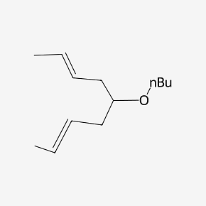 CC=CCC(CC=CC)OCCCC